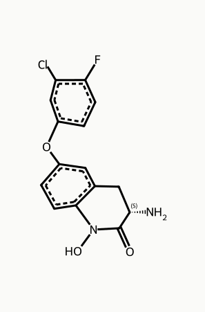 N[C@H]1Cc2cc(Oc3ccc(F)c(Cl)c3)ccc2N(O)C1=O